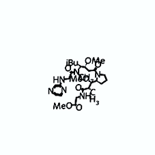 CC[C@H](C)[C@@H]([C@@H](CC(=O)N1CCC[C@H]1[C@H](OC)[C@@H](C)C(=O)NCC(=O)OC)OC)N(C)C(=O)CNc1cnccn1